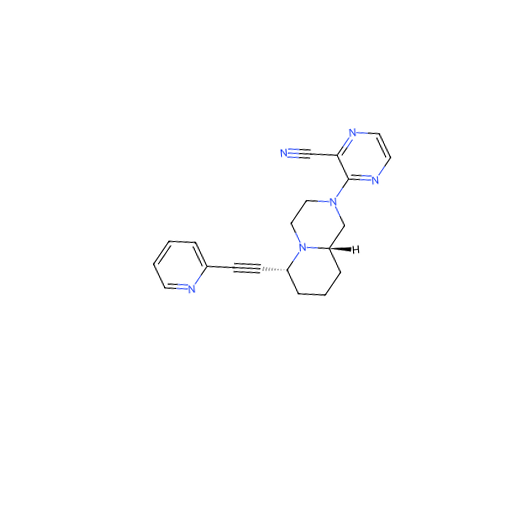 N#Cc1nccnc1N1CCN2[C@@H](CCC[C@@H]2C#Cc2ccccn2)C1